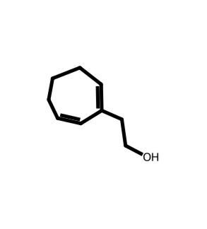 OCCC1=CCCCC=C1